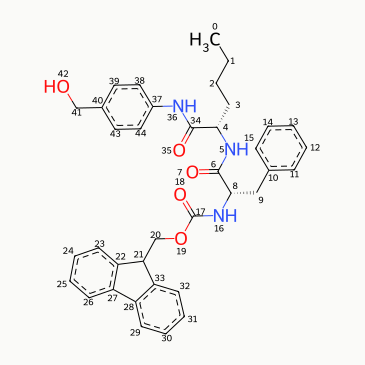 CCCC[C@H](NC(=O)[C@H](Cc1ccccc1)NC(=O)OCC1c2ccccc2-c2ccccc21)C(=O)Nc1ccc(CO)cc1